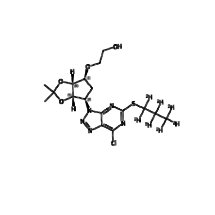 [2H]C([2H])([2H])C([2H])([2H])C([2H])([2H])Sc1nc(Cl)c2nnn([C@@H]3C[C@H](OCCO)[C@H]4OC(C)(C)O[C@H]43)c2n1